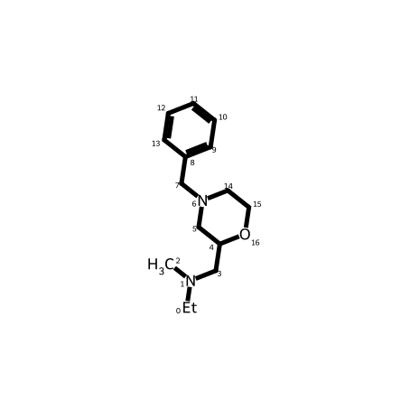 CCN(C)CC1CN(Cc2ccccc2)CCO1